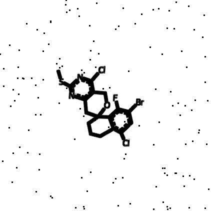 CSc1nc(Cl)c2c(n1)CC1(CCCc3c(Cl)cc(Br)c(F)c31)OC2